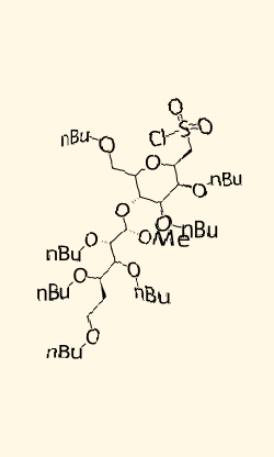 CCCCOCC[C@@H](OCCCC)C(OCCCC)[C@H](OCCCC)[C@@H](OC)O[C@@H]1C(COCCCC)O[C@@H](CS(=O)(=O)Cl)[C@@H](OCCCC)C1OCCCC